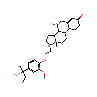 CCC(N)(CC)c1ccc(OCC[C@H]2CCC3C4C(CCC32C)C2CCC(=O)C=C2C[C@H]4C)c(OC)c1